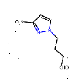 O=CCCCn1ccc([N+](=O)[O-])n1